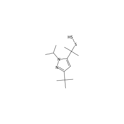 CC(C)n1nc(C(C)(C)C)cc1C(C)(C)SS